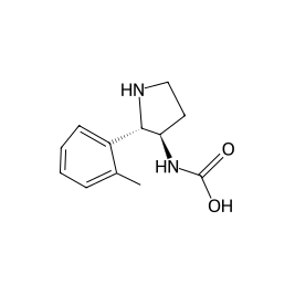 Cc1ccccc1[C@@H]1NCC[C@H]1NC(=O)O